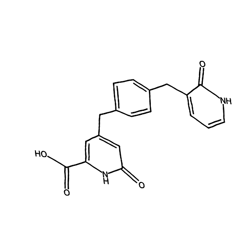 O=C(O)c1cc(Cc2ccc(Cc3ccc[nH]c3=O)cc2)cc(=O)[nH]1